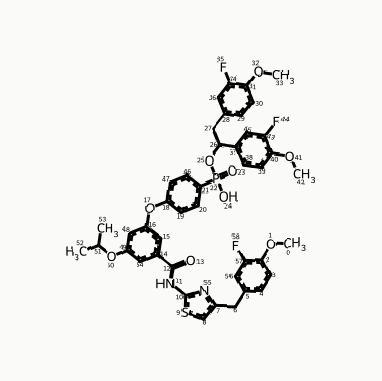 COc1ccc(Cc2csc(NC(=O)c3cc(Oc4ccc(P(=O)(O)OC(Cc5ccc(OC)c(F)c5)c5ccc(OC)c(F)c5)cc4)cc(OC(C)C)c3)n2)cc1F